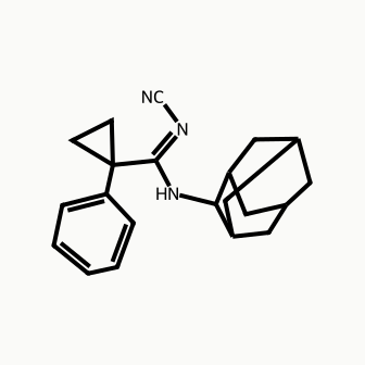 N#CN=C(NC1C2CC3CC(C2)CC1C3)C1(c2ccccc2)CC1